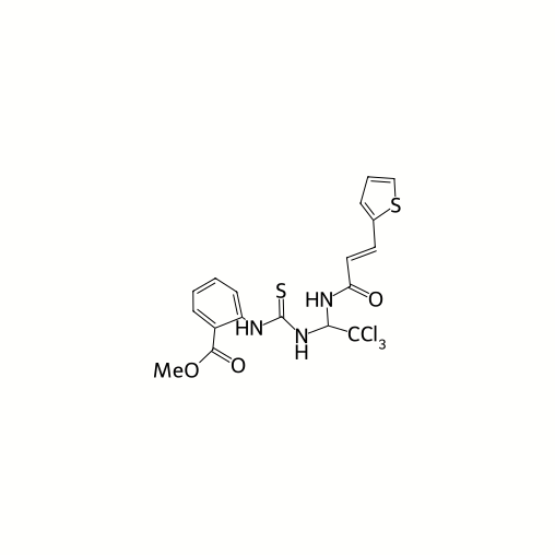 COC(=O)c1ccccc1NC(=S)NC(NC(=O)/C=C/c1cccs1)C(Cl)(Cl)Cl